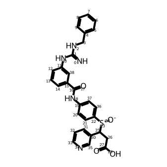 N=C(NCc1ccccc1)Nc1cccc(C(=O)Nc2ccc([S+]([O-])C(CC(=O)O)c3cccnc3)cc2)c1